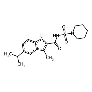 Cc1c(C(=O)NS(=O)(=O)N2CCCCC2)[nH]c2ccc(C(C)C)cc12